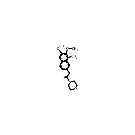 COc1cc2ccc(CC(=S)N3CCOCC3)cc2c(C)c1OC